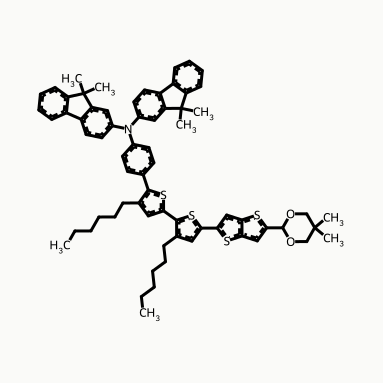 CCCCCCc1cc(-c2sc(-c3cc4sc(C5OCC(C)(C)CO5)cc4s3)cc2CCCCCC)sc1-c1ccc(N(c2ccc3c(c2)C(C)(C)c2ccccc2-3)c2ccc3c(c2)C(C)(C)c2ccccc2-3)cc1